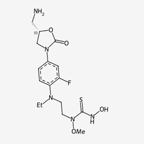 CCN(CCN(OC)C(=S)NO)c1ccc(N2C[C@H](CN)OC2=O)cc1F